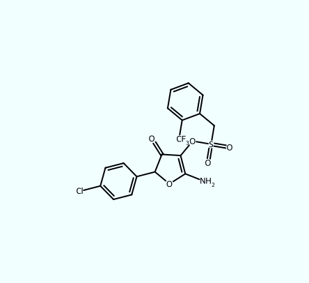 NC1=C(OS(=O)(=O)Cc2ccccc2C(F)(F)F)C(=O)C(c2ccc(Cl)cc2)O1